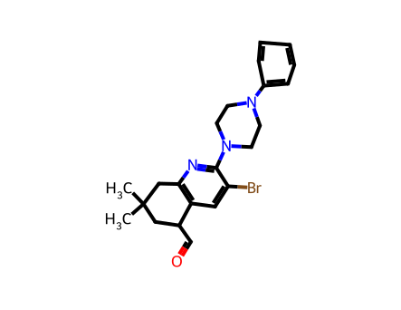 CC1(C)Cc2nc(N3CCN(c4ccccc4)CC3)c(Br)cc2C(C=O)C1